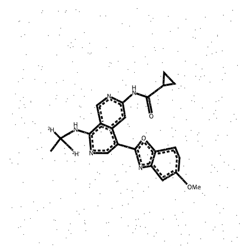 [2H]C([2H])(C)Nc1ncc(-c2nc3cc(OC)ccc3o2)c2cc(NC(=O)C3CC3)ncc12